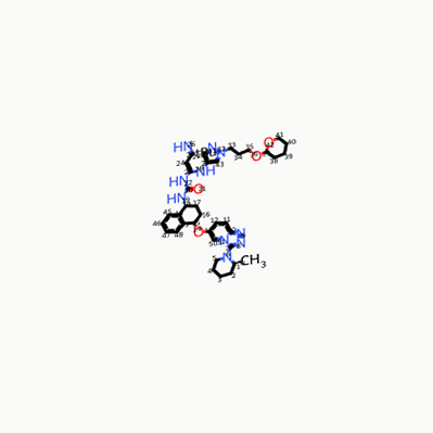 C[C@H]1CCCCN1c1nnc2ccc(O[C@@H]3CC[C@H](NC(=O)N/C(=C/C(=N)C(C)(C)C)Nc4cnn(CCCOC5CCCCO5)c4)c4ccccc43)cn12